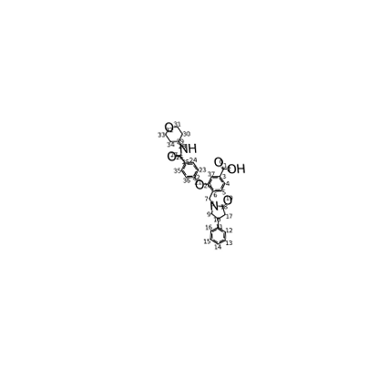 O=C(O)c1ccc(CN2C[C@H](c3ccccc3)CC2=O)c(Oc2ccc(C(=O)NC3CCOCC3)cc2)c1